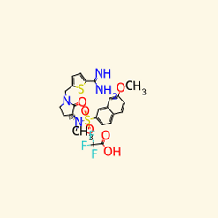 COc1ccc2ccc(S(=O)(=O)N(C)[C@H]3CCN(Cc4ccc(C(=N)N)s4)C3=O)cc2c1.O=C(O)C(F)(F)F